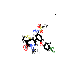 CCS(=O)(=O)Nc1ccc(Oc2ccc(Cl)cc2)c(-c2cn(C)c(=O)c3ccsc23)c1